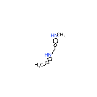 CCC1CC2(CCC(NCCCC3CC4(CCC(NC)CC4)C3)C2)C1